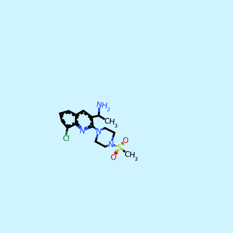 CC(N)c1cc2cccc(Cl)c2nc1N1CCN(S(C)(=O)=O)CC1